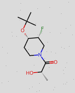 C[C@H](O)C(=O)N1CC[C@H](OC(C)(C)C)[C@H](F)C1